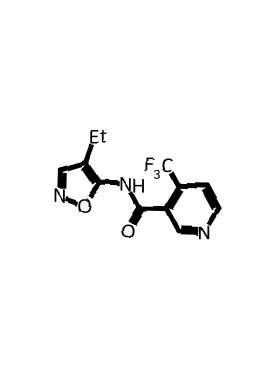 CCc1cnoc1NC(=O)c1cnccc1C(F)(F)F